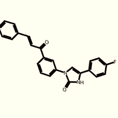 O=C(C=Cc1ccccc1)c1cccc(-n2cc(-c3ccc(F)cc3)[nH]c2=O)c1